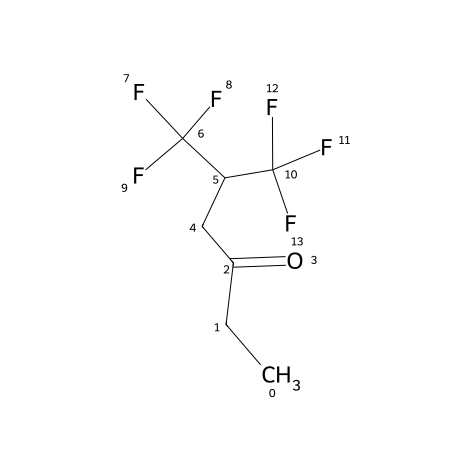 CCC(=O)CC(C(F)(F)F)C(F)(F)F